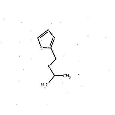 CC(C)SCc1cccs1